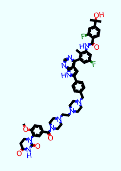 COc1ccc(C(=O)N2CCN(CCN3CCN(Cc4ccc(-c5cc6c(-c7cc(F)cc(NC(=O)c8ccc(C(C)(C)O)cc8F)c7C)ncnc6[nH]5)cc4)CC3)CC2)cc1N1CCC(=O)NC1=O